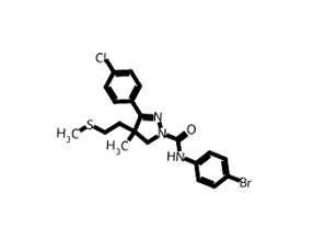 CSCCC1(C)CN(C(=O)Nc2ccc(Br)cc2)N=C1c1ccc(Cl)cc1